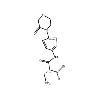 CCN(CC)[C@H](CN)C(=O)Nc1ccc(N2CCOCC2=O)cc1